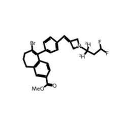 [2H]C([2H])(CC(F)F)N1CC(=Cc2ccc(C3=C(Br)CCCc4cc(C(=O)OC)ccc43)cc2)C1